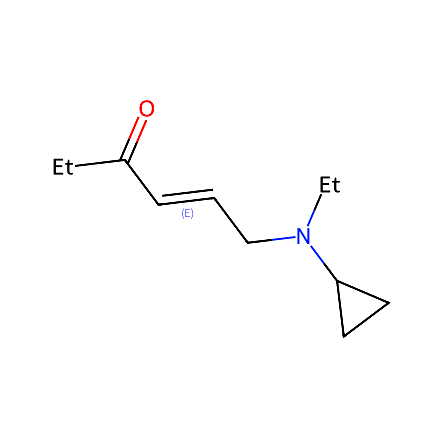 CCC(=O)/C=C/CN(CC)C1CC1